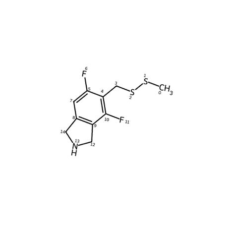 CSSCc1c(F)cc2c(c1F)CNC2